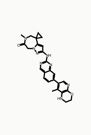 Cc1c(-c2ccc3cnc(Nc4cc5n(n4)CC(=O)N(C)CC54CC4)nc3c2)cnc2c1NCCO2